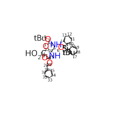 CC(C)(C)OC(=O)N[C@H](CO[Si](c1ccccc1)(c1ccccc1)C(C)(C)C)[C@@H](CC(=O)O)NC(=O)OCc1ccccc1